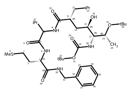 CSCC[C@H](NC(=O)C(NC(=O)[C@H](CC(C)C)C[C@@H](O)[C@@H](NC(=O)OC(C)(C)C)[C@@H](C)OC(C)(C)C)C(C)C)C(=O)NCc1ccccc1